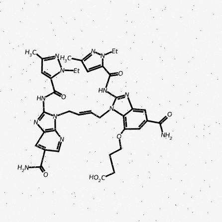 CCn1nc(C)cc1C(=O)Nc1nc2cc(C(N)=O)cnc2n1C/C=C/Cn1c(NC(=O)c2cc(C)nn2CC)nc2cc(C(N)=O)cc(OCCCC(=O)O)c21